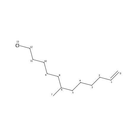 C=CCCCCC(C)CCCCCCl